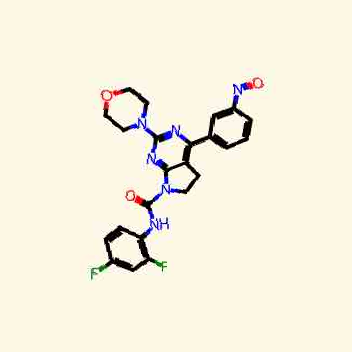 O=Nc1cccc(-c2nc(N3CCOCC3)nc3c2CCN3C(=O)Nc2ccc(F)cc2F)c1